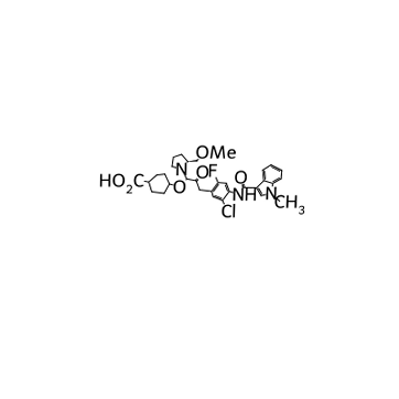 COC[C@@H]1CCCN1C(OC1CCC(C(=O)O)CC1)C(=O)Cc1cc(Cl)c(NC(=O)c2cn(C)c3ccccc23)cc1F